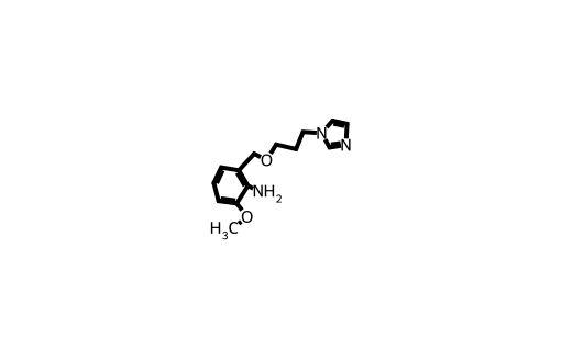 COc1cccc(COCCCn2ccnc2)c1N